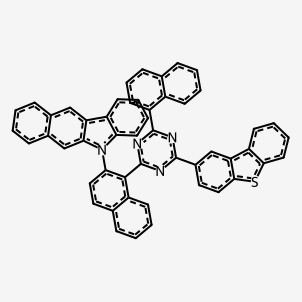 c1ccc2cc3c(cc2c1)c1ccccc1n3-c1ccc2ccccc2c1-c1nc(-c2ccc3sc4ccccc4c3c2)nc(-c2cccc3ccccc23)n1